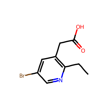 CCc1ncc(Br)cc1CC(=O)O